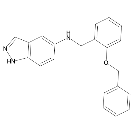 c1ccc(COc2ccccc2CNc2ccc3[nH]ncc3c2)cc1